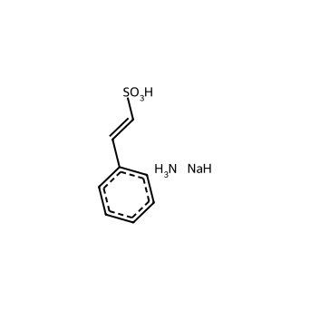 N.O=S(=O)(O)C=Cc1ccccc1.[NaH]